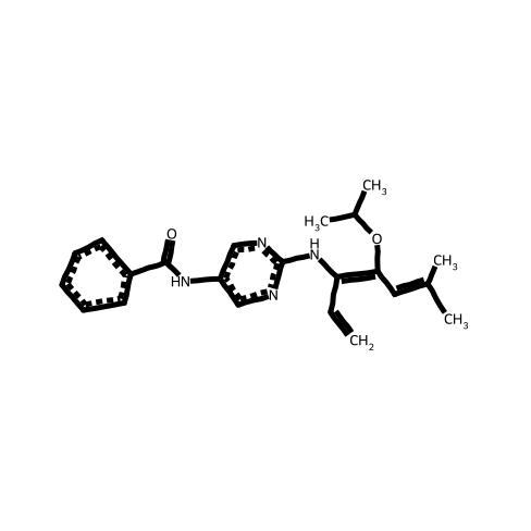 C=C/C(Nc1ncc(NC(=O)c2ccccc2)cn1)=C(\C=C(C)C)OC(C)C